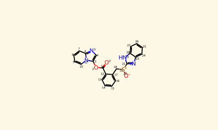 O=C(Oc1cnc2ccccn12)c1ccccc1C[S+]([O-])c1nc2ccccc2[nH]1